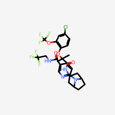 CC(C)(Oc1ccc(Cl)cc1OC(F)(F)F)C(=O)NC1CC2CCC(C1)N2c1ccc(C(=O)NCC(F)(F)F)cn1